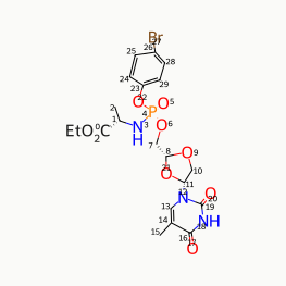 CCOC(=O)[C@H](C)NP(=O)(OC[C@@H]1OC[C@H](n2cc(C)c(=O)[nH]c2=O)O1)Oc1ccc(Br)cc1